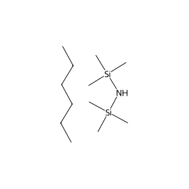 CCCCCC.C[Si](C)(C)N[Si](C)(C)C